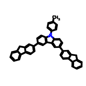 Cc1ccc(-n2c3ccc(-c4ccc5c(c4)Cc4ccccc4-5)cc3c3cc(-c4ccc5c(c4)Cc4ccccc4-5)ccc32)cc1